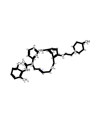 Cc1cccc(C)c1NC(=O)N1C/C=C/COCc2cc(ccc2OCCN2CCC(O)CC2)Nc2nccc1n2